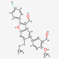 CCCc1cc2oc(-c3ccc(F)cc3)c(C=O)c2cc1-c1ccc(OC)c(C=O)c1